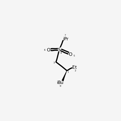 CCC(C)[C@H](CC)CS(=O)(=O)C(C)C